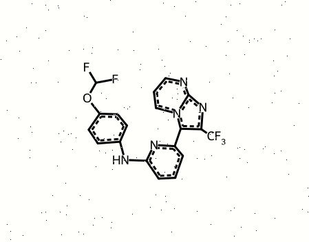 FC(F)Oc1ccc(Nc2cccc(-c3c(C(F)(F)F)nc4ncccn34)n2)cc1